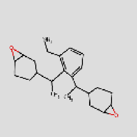 CC(c1cccc(C[SiH3])c1C(C)C1CCC2OC2C1)C1CCC2OC2C1